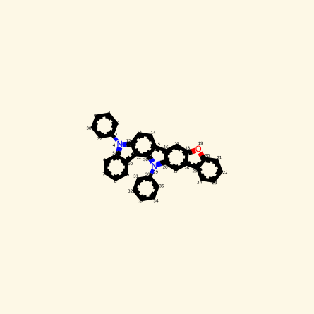 c1ccc(-n2c3ccccc3c3c2ccc2c4cc5oc6ccccc6c5cc4n(-c4ccccc4)c23)cc1